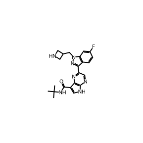 CC(C)(C)NC(=O)c1c[nH]c2ncc(-c3nn(CC4CNC4)c4cc(F)ccc34)nc12